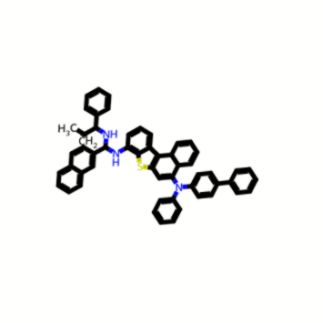 C=C(C)C(NC(Nc1cccc2c3c(sc12)C=C(N(c1ccccc1)c1ccc(-c2ccccc2)cc1)C1C=CC=CC31)c1ccc2ccccc2c1)c1ccccc1